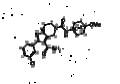 COC12CCC(NC(=O)N3CCn4nc(-c5cccc(Cl)c5)c(C(N)=O)c4C3)(CC1)CC2